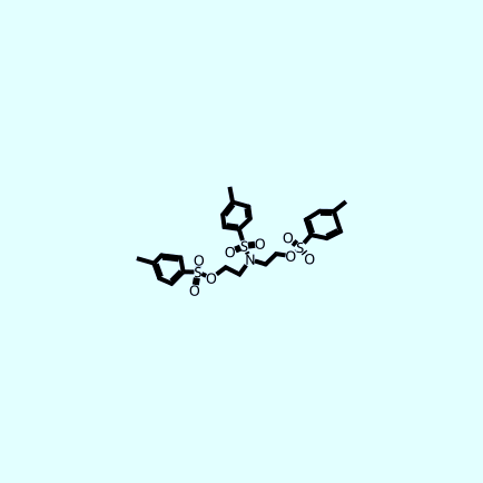 Cc1ccc(S(=O)(=O)OCCN(CCOS(=O)(=O)c2ccc(C)cc2)S(=O)(=O)c2ccc(C)cc2)cc1